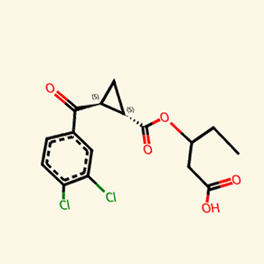 CCC(CC(=O)O)OC(=O)[C@H]1C[C@@H]1C(=O)c1ccc(Cl)c(Cl)c1